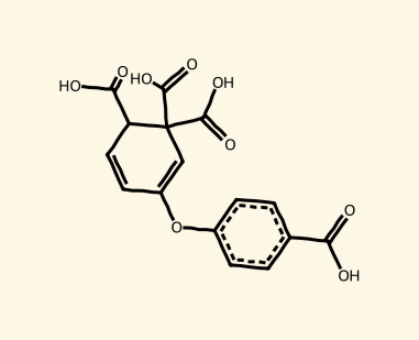 O=C(O)c1ccc(OC2=CC(C(=O)O)(C(=O)O)C(C(=O)O)C=C2)cc1